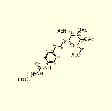 CCOC(=O)NNC(=O)Nc1ccc(CCO[C@@H]2O[C@H](COC(C)=O)[C@H](OC(C)=O)[C@H](OC(C)=O)[C@H]2NC(C)=O)cc1